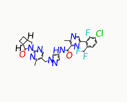 Cc1nc(N2C[C@H]3CC[C@H]3C2=O)ncc1Cn1cc(NC(=O)c2nc(-c3c(C(F)F)ccc(Cl)c3F)cnc2C)cn1